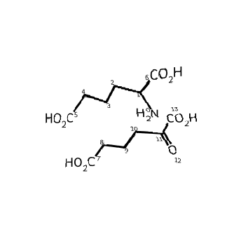 NC(CCCC(=O)O)C(=O)O.O=C(O)CCCC(=O)C(=O)O